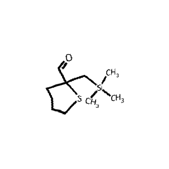 C[Si](C)(C)CC1(C=O)CCCS1